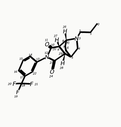 CCCN1CC2CC[C@@H]1[C@H]1C(=O)N(c3cccc(C(F)(F)F)c3)C(=O)[C@@H]21